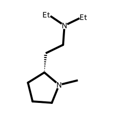 CCN(CC)CC[C@H]1CCCN1C